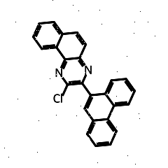 Clc1nc2c(ccc3ccccc32)nc1-c1cc2ccccc2c2ccccc12